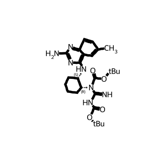 Cc1ccc2nc(N)nc(N[C@H]3CCCC[C@H]3N(C(=N)NC(=O)OC(C)(C)C)C(=O)OC(C)(C)C)c2c1